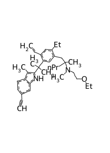 C#Cc1ccc2c(C)c(C(C)(C)c3cc(CC(C)(CCC)N(C)CCOCC)c(CC)cc3C=C)[nH]c2c1